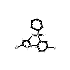 O=S1(c2ccccc2)=Nc2nc(O)nn2-c2ccc(Cl)cc21